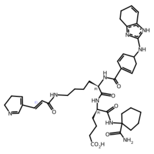 NC(=O)C1(NC(=O)[C@@H](CCCC(=O)O)NC(=O)[C@@H](CCCCNC(=O)/C=C/C2=CCCN=C2)NC(=O)C2=CCC(Nc3nc4c([nH]3)C=CCC4)C=C2)CCCCC1